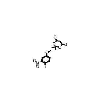 CC1(C)OC(=O)CC(=O)O1.COc1ccc(I)c([N+](=O)[O-])c1